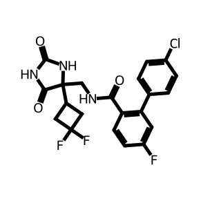 O=C1NC(=O)C(CNC(=O)c2ccc(F)cc2-c2ccc(Cl)cc2)(C2CC(F)(F)C2)N1